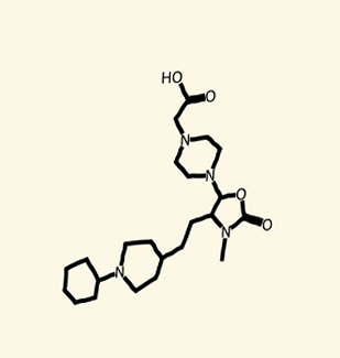 CN1C(=O)OC(N2CCN(CC(=O)O)CC2)C1CCC1CCN(C2CCCCC2)CC1